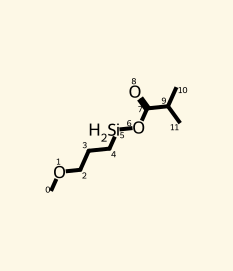 COCCC[SiH2]OC(=O)C(C)C